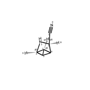 N#C[C@@H]1N[C@@H]2C3C1[C@@H]32